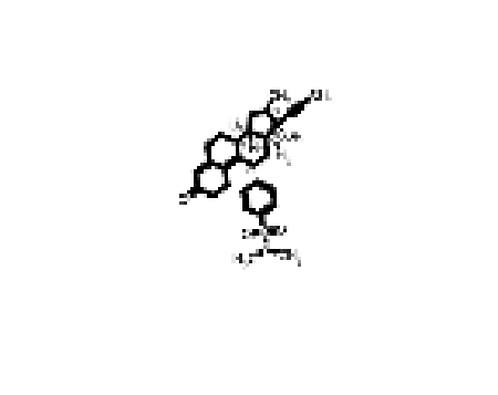 CC#C[C@]1(O)[C@H](C)C[C@H]2[C@@H]3CCC4=CC(=O)CCC4=C3[C@@H](c3ccc(S(=O)(=O)N(C)C)cc3)C[C@@]21C